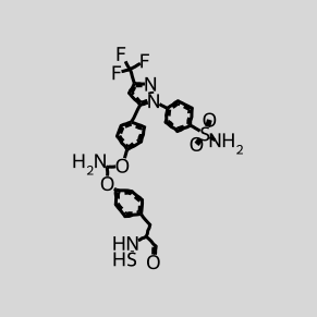 NC(Oc1ccc(CC(C=O)NS)cc1)Oc1ccc(-c2cc(C(F)(F)F)nn2-c2ccc(S(N)(=O)=O)cc2)cc1